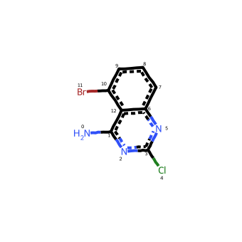 Nc1nc(Cl)nc2cccc(Br)c12